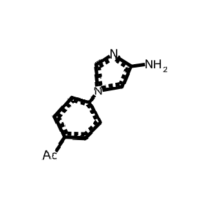 CC(=O)c1ccc(-n2cnc(N)c2)cc1